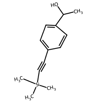 CC(O)c1ccc(C#C[Si](C)(C)C)cc1